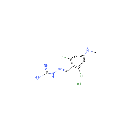 CN(C)c1cc(Cl)c(/C=N/NC(=N)N)c(Cl)c1.Cl